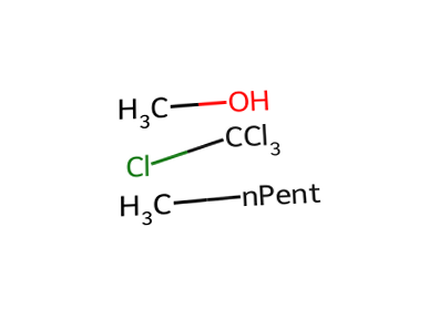 CCCCCC.CO.ClC(Cl)(Cl)Cl